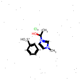 CC(O)[n+]1ccn(C)c1.O=S(=O)(O)c1ccccc1.[Cl-]